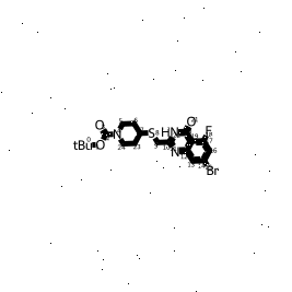 CC(C)(C)OC(=O)N1CCC(SCc2nc3cc(Br)cc(F)c3c(=O)[nH]2)CC1